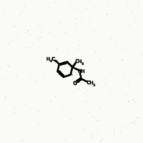 CC(=O)NC1(C)[CH]C=CC(C)=C1